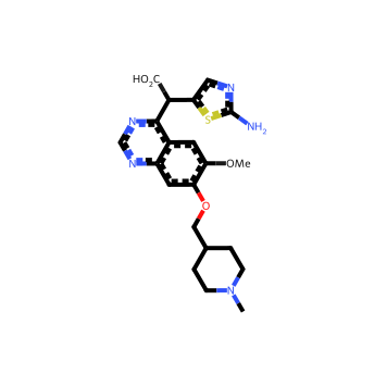 COc1cc2c(C(C(=O)O)c3cnc(N)s3)ncnc2cc1OCC1CCN(C)CC1